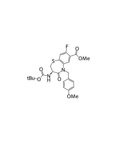 COC(=O)c1cc2c(cc1F)SC[C@H](NC(=O)OC(C)(C)C)C(=O)N2Cc1ccc(OC)cc1